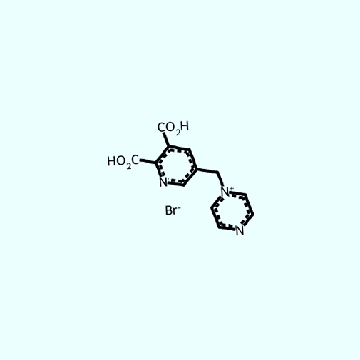 O=C(O)c1cc(C[n+]2ccncc2)cnc1C(=O)O.[Br-]